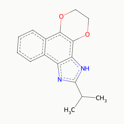 CC(C)c1nc2c([nH]1)c1c(c3ccccc32)OCCO1